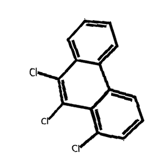 Clc1c(Cl)c2c(Cl)[c]ccc2c2cc[c]cc12